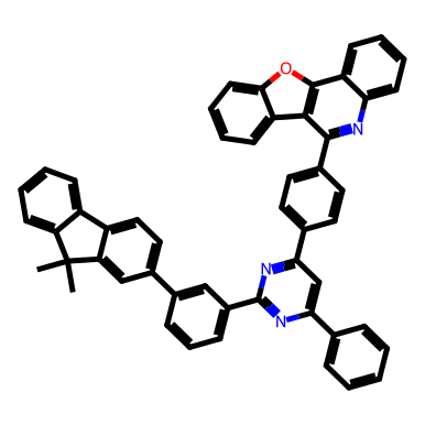 CC1(C)c2ccccc2-c2ccc(-c3cccc(-c4nc(-c5ccccc5)cc(-c5ccc(-c6nc7ccccc7c7oc8ccccc8c67)cc5)n4)c3)cc21